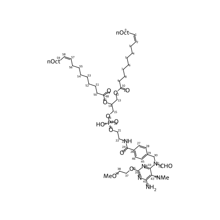 CCCCCCCC/C=C\CCCCCCCC(=O)OCC(COP(=O)(O)OCCNC(=O)c1ccc(CN(C=O)c2nc(OCCOC)nc(N)c2NC)cc1)OC(=O)CCCCCCC/C=C\CCCCCCCC